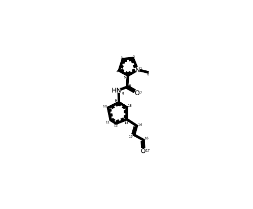 Cn1cccc1C(=O)Nc1cccc(/C=C/C=O)c1